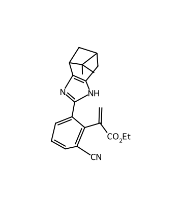 C=C(C(=O)OCC)c1c(C#N)cccc1-c1nc2c([nH]1)CC1CC2C1(C)C